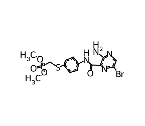 COP(=O)(CSc1ccc(NC(=O)c2nc(Br)cnc2N)cc1)OC